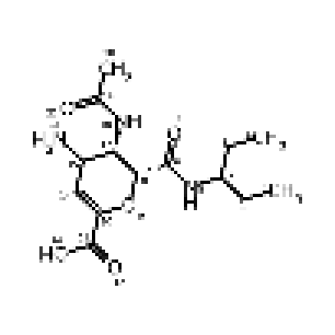 CCC(CC)NC(=O)[C@@H]1OC(C(=O)O)=CC(N)[C@H]1NC(C)=O